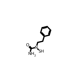 NC(=O)N(S)CCc1ccccc1